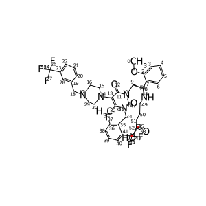 COc1ccccc1[C@H](Cn1c(=O)c(N2CCN(Cc3cccc(C(F)(F)F)c3)CC2)c(C)n(Cc2c(F)cccc2C(F)(F)F)c1=O)NCCCC(=O)O